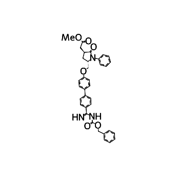 COC(=O)C[C@@H]1C[C@@H](COc2ccc(-c3ccc(C(=N)NC(=O)OCc4ccccc4)cc3)cc2)N(c2ccccc2)C1=O